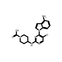 Nc1cccc2c1ccn2-c1nc(NC2CCN(C(=O)O)CC2)ncc1Cl